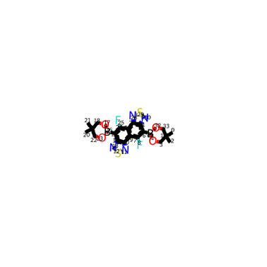 CC1(C)COB(c2c(F)c3c4nsnc4c(B4OCC(C)(C)CO4)c(F)c3c3nsnc23)OC1